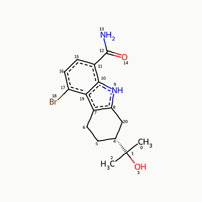 CC(C)(O)[C@@H]1CCc2c([nH]c3c(C(N)=O)ccc(Br)c23)C1